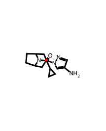 Nc1cnn(C2CC3CCC(C2)N3C(=O)C2CC2)c1